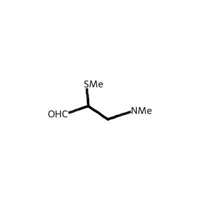 CNCC(C=O)SC